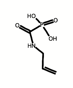 C=CCNC(=O)P(=O)(O)O